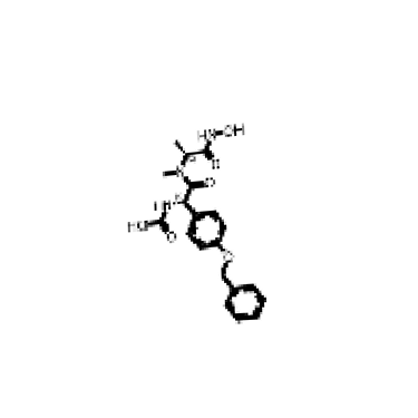 C[C@@H](C(=O)NO)N(C)C(=O)[C@@H](NC(=O)O)c1ccc(OCc2ccccc2)cc1